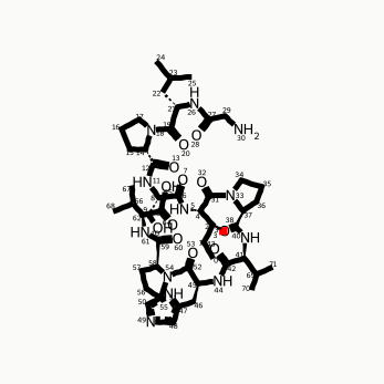 CC[C@H](C)[C@H](NC(=O)[C@H](CO)NC(=O)[C@@H]1CCCN1C(=O)[C@H](CC(C)C)NC(=O)CN)C(=O)N1CCC[C@H]1C(=O)N[C@H](C(=O)N[C@@H](Cc1cnc[nH]1)C(=O)N1CCC[C@H]1C(=O)N[C@H](C(=O)O)C(C)C)C(C)C